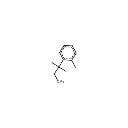 COCC(C)(C)c1ccccc1C